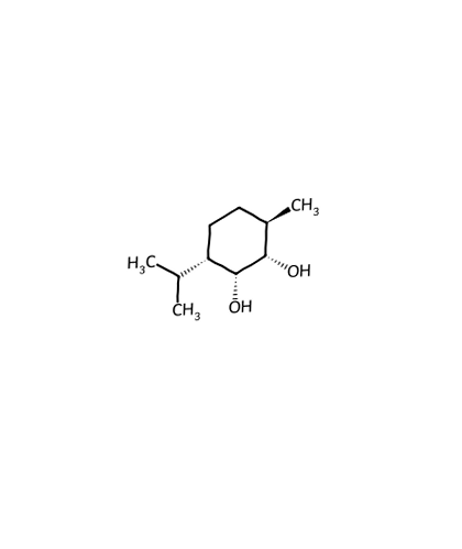 CC(C)[C@@H]1CC[C@@H](C)[C@H](O)[C@@H]1O